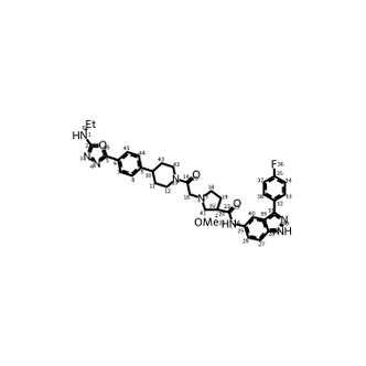 CCNc1nnc(-c2ccc(C3CCN(C(=O)CN4CC[C@@](OC)(C(=O)Nc5ccc6[nH]nc(-c7ccc(F)cc7)c6c5)C4)CC3)cc2)o1